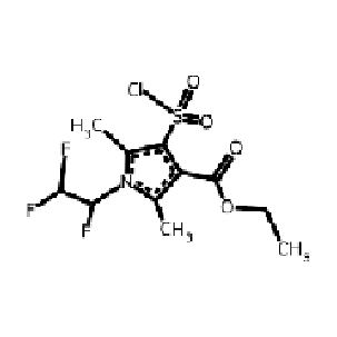 CCOC(=O)c1c(S(=O)(=O)Cl)c(C)n(C(F)C(F)F)c1C